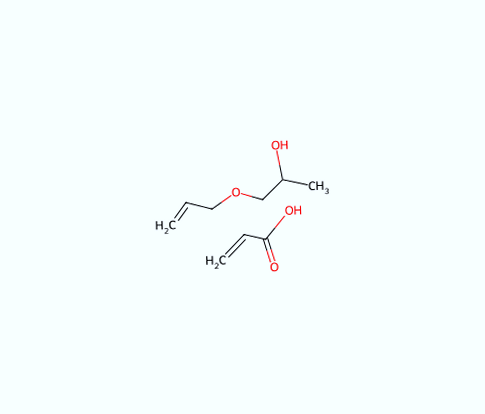 C=CC(=O)O.C=CCOCC(C)O